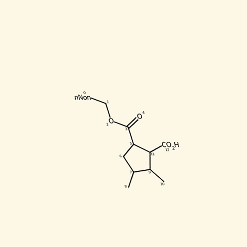 CCCCCCCCCCOC(=O)C1CC(C)C(C)C1C(=O)O